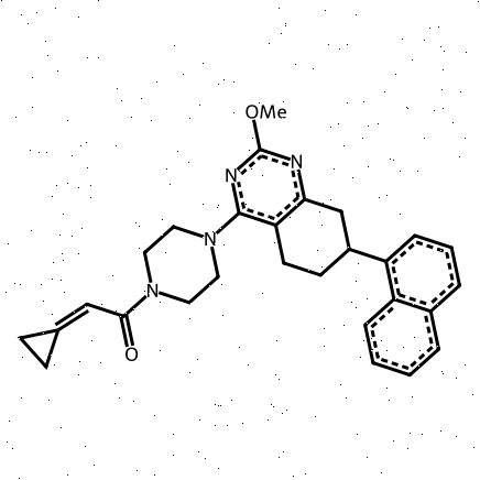 COc1nc2c(c(N3CCN(C(=O)C=C4CC4)CC3)n1)CCC(c1cccc3ccccc13)C2